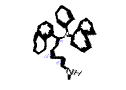 CN/C=C/C=C\C=C(/c1cccc2c1CCC=C2)N(C1=CCCC=C1)c1cccc2ccccc12